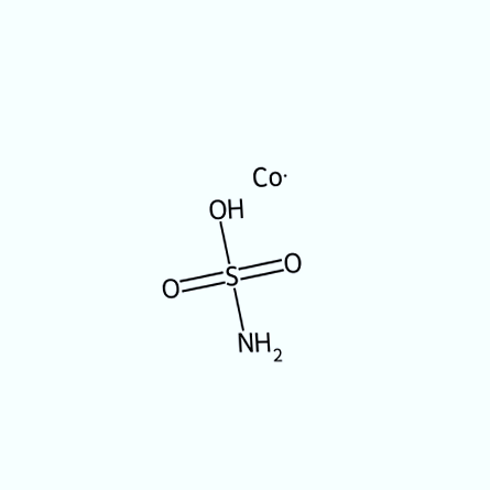 NS(=O)(=O)O.[Co]